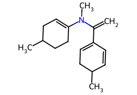 C=C(C1=CCC(C)C=C1)N(C)C1=CCC(C)CC1